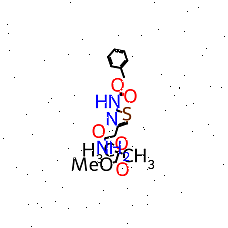 COC(=O)C(C)(C)OC(C(N)=O)c1csc(NC(=O)OCc2ccccc2)n1